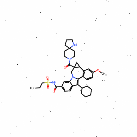 CCCS(=O)(=O)NC(=O)c1ccc2c(C3CCCCC3)c3n(c2c1)CC1(C(=O)N2CCC4(CCCN4)CC2)CC1c1cc(OC)ccc1-3